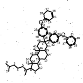 CC(C)CCCC(C)C1CCC2C3CCC4CC(c5ccc(OC6=CC=CCC6)cc5)(c5ccc(Oc6ccccc6)cc5)CCC4(C)C3CCC12C